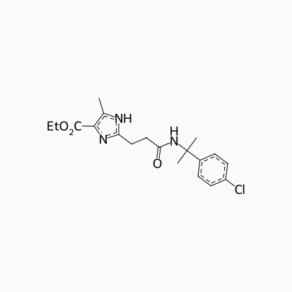 CCOC(=O)c1nc(CCC(=O)NC(C)(C)c2ccc(Cl)cc2)[nH]c1C